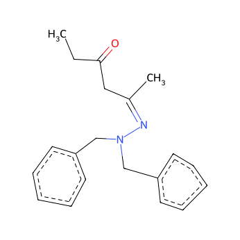 CCC(=O)CC(C)=NN(Cc1ccccc1)Cc1ccccc1